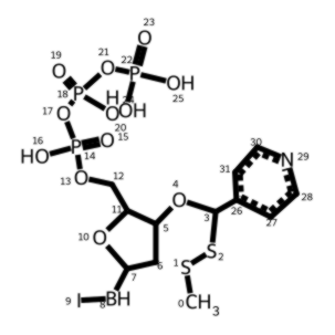 CSSC(OC1CC(BI)OC1COP(=O)(O)OP(=O)(O)OP(=O)(O)O)c1ccncc1